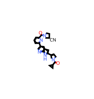 N#CC1CCN(C(=O)c2cccc(-c3cnc4[nH]c(C5=CCN(C(=O)C6CC6)C5)cc4c3)n2)C1